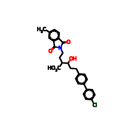 Cc1ccc2c(c1)C(=O)N(CCC(C(=O)O)C(O)CCc1ccc(-c3ccc(Cl)cc3)cc1)C2=O